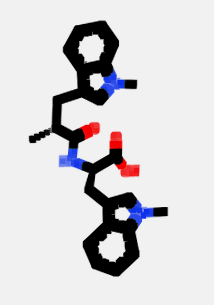 C[C@H](Cc1cn(C)c2ccccc12)C(=O)N[C@H](Cc1cn(C)c2ccccc12)C(=O)O